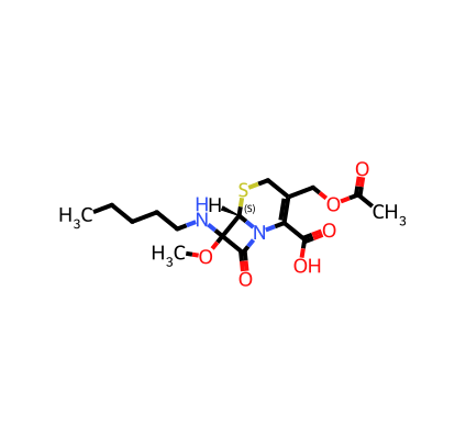 CCCCCNC1(OC)C(=O)N2C(C(=O)O)=C(COC(C)=O)CS[C@H]21